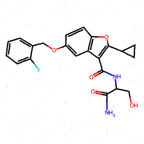 NC(=O)C(CO)NC(=O)c1c(C2CC2)oc2ccc(OCc3ccccc3F)cc12